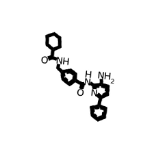 Nc1ccc(-c2ccccc2)nc1NC(=O)c1ccc(CNC(=O)C2CCCCC2)cc1